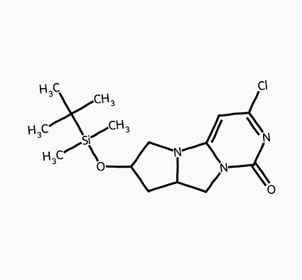 CC(C)(C)[Si](C)(C)OC1CC2Cn3c(cc(Cl)nc3=O)N2C1